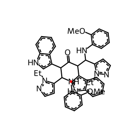 CCn1nccc1C(Nc1ccccc1OC)C(C(=O)C(c1c[nH]c2ccccc12)C(Nc1ccccc1OC)c1ccnn1CC)c1c[nH]c2ccccc12